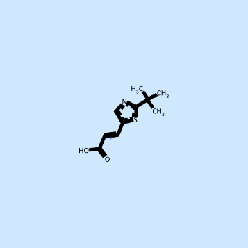 CC(C)(C)c1ncc(/C=C/C(=O)O)s1